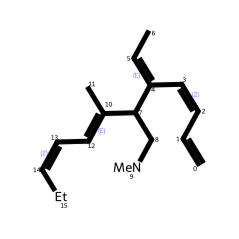 C=C/C=C\C(=C/C)C(CNC)/C(C)=C/C=C\CC